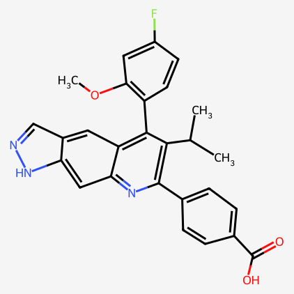 COc1cc(F)ccc1-c1c(C(C)C)c(-c2ccc(C(=O)O)cc2)nc2cc3[nH]ncc3cc12